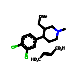 COCC1CN(C)CCC1c1ccc(Cl)c(Cl)c1.O=C(O)C=CC(=O)O